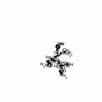 CC(C)(C)SSCCN(CCC(=O)OC1C(COP(=O)(O)O[C@H]2[C@@H](O)[C@H](n3ccc(N)nc3=O)O[C@@H]2COP(=O)(O)O)OC(n2cnc3c(N)ncnc32)C1O)C(=O)OCc1ccc(N=[N+]=[N-])cc1